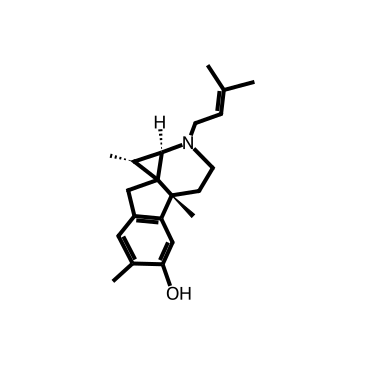 CC(C)=CCN1CC[C@]2(C)c3cc(O)c(C)cc3CC23[C@H](C)[C@@H]13